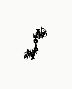 CC[C@H](C)[C@H](NC(=O)OC)C(=O)N1CC2(CC2)C[C@H]1c1nc2ccc(C#Cc3ccc(-c4cnc([C@@H]5CC6(CC6)CN5C(=O)[C@@H](NC(=O)OC)C(C)C)[nH]4)cc3)cc2[nH]1